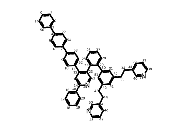 c1ccc(-c2ccc(-c3ccc(-c4cc(-c5ccccc5)ncc4-c4ccccc4-c4cc(CCc5cccnc5)cc(CCc5cccnc5)c4)cc3)cc2)cc1